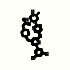 C[C@H]1CN(c2ncc(Oc3cc(CN4CCC(CC(=O)O)CC4)cc(-c4cc(Cl)cc(Cl)c4)n3)cn2)CCN1